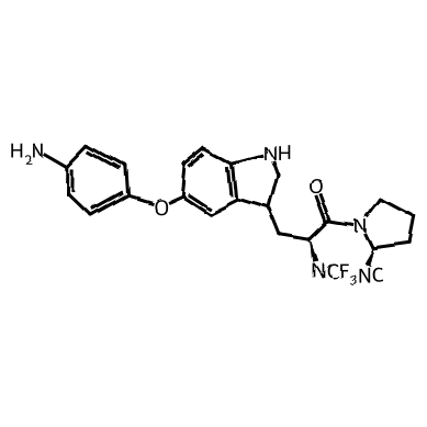 N#C[C@@H]1CCCN1C(=O)[C@H](CC1CNc2ccc(Oc3ccc(N)cc3)cc21)NC(F)(F)F